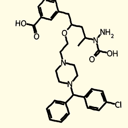 CC(CC(Cc1cccc(C(=O)O)c1)OCCN1CCN(C(c2ccccc2)c2ccc(Cl)cc2)CC1)N(N)C(=O)O